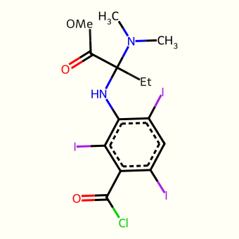 CCC(Nc1c(I)cc(I)c(C(=O)Cl)c1I)(C(=O)OC)N(C)C